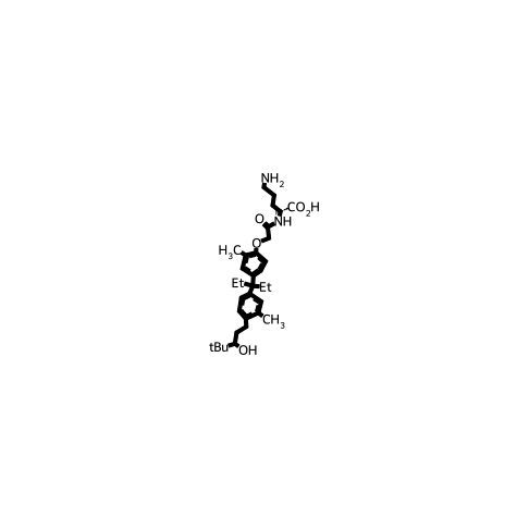 CCC(CC)(c1ccc(CCC(O)C(C)(C)C)c(C)c1)c1ccc(OCC(=O)N[C@H](CCCN)C(=O)O)c(C)c1